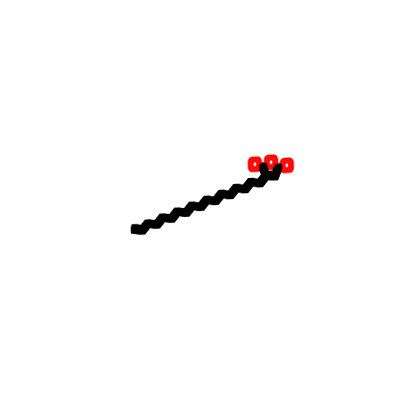 C=CCCCCCCCCCCCCCCCCC1=CC(=O)OC1=O